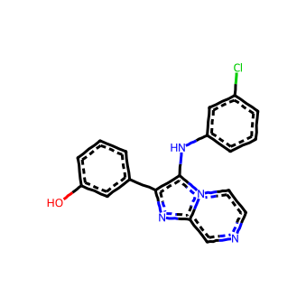 Oc1cccc(-c2nc3cnccn3c2Nc2cccc(Cl)c2)c1